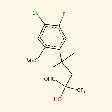 COc1cc(Cl)c(F)cc1C(C)(C)CC(O)(C=O)C(F)(F)F